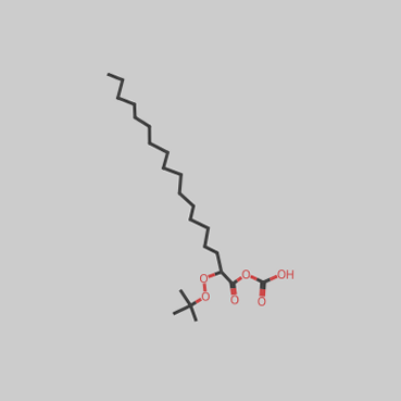 CCCCCCCCCCCCCCCCC(OOC(C)(C)C)C(=O)OC(=O)O